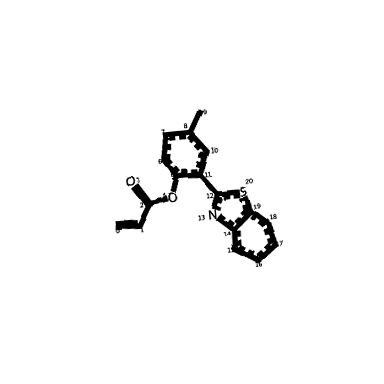 C=CC(=O)Oc1ccc(C)cc1-c1nc2ccccc2s1